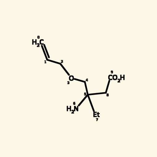 C=CCOCC(N)(CC)CC(=O)O